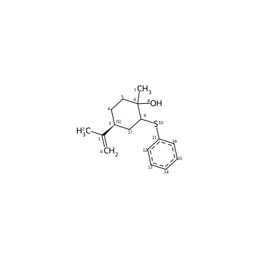 C=C(C)[C@H]1CCC(C)(O)C(Sc2ccccc2)C1